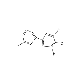 Cc1cccc(-c2cc(F)c(Cl)c(F)c2)c1